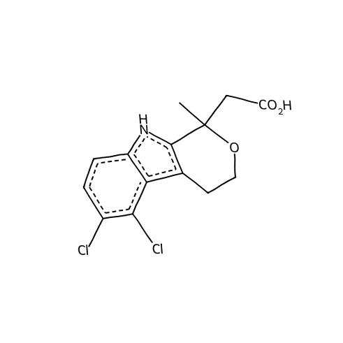 CC1(CC(=O)O)OCCc2c1[nH]c1ccc(Cl)c(Cl)c21